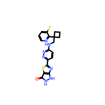 O=c1[nH][nH]c2nc(-c3ccc(NCC4(c5ncccc5F)CCC4)nn3)sc12